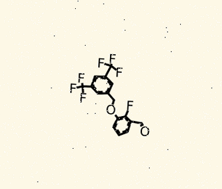 O=Cc1cccc(OCc2cc(C(F)(F)F)cc(C(F)(F)F)c2)c1F